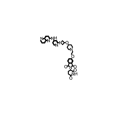 O=C1CCC(N2C(=O)c3ccc(OCCN4CCC(OC5CN(c6cc(Nc7ccc8ncccc8n7)ccn6)C5)CC4)cc3C2=O)C(=O)N1